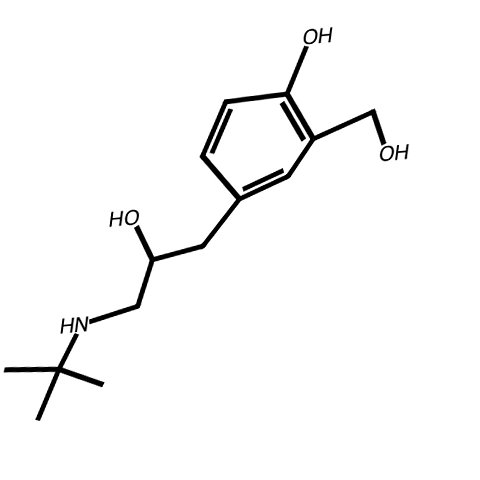 CC(C)(C)NCC(O)Cc1ccc(O)c(CO)c1